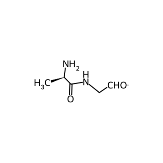 C[C@@H](N)C(=O)NC[C]=O